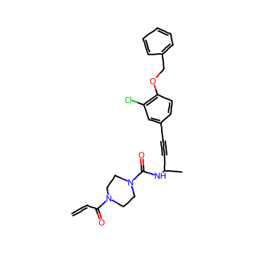 C=CC(=O)N1CCN(C(=O)NC(C)C#Cc2ccc(OCc3ccccc3)c(Cl)c2)CC1